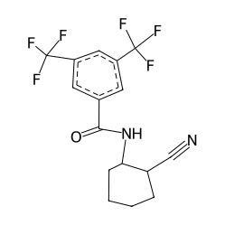 N#CC1CCCCC1NC(=O)c1cc(C(F)(F)F)cc(C(F)(F)F)c1